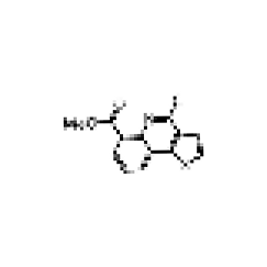 COC(=O)c1cccc2c1nc(Cl)c1ccsc12